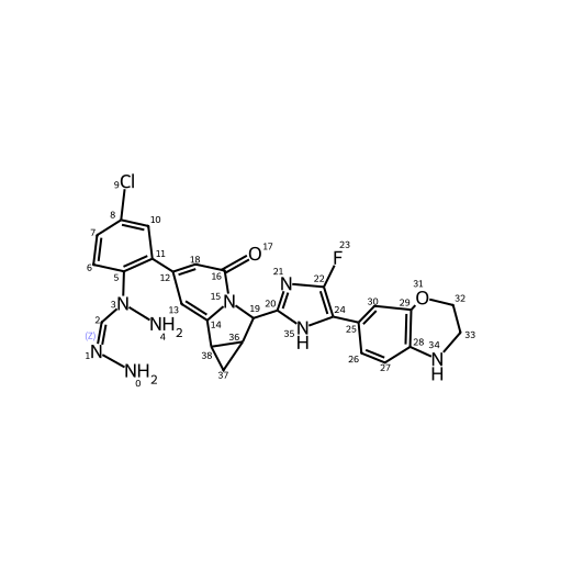 N/N=C\N(N)c1ccc(Cl)cc1-c1cc2n(c(=O)c1)C(c1nc(F)c(-c3ccc4c(c3)OCCN4)[nH]1)C1CC21